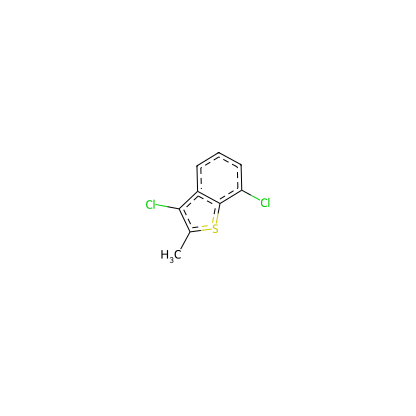 Cc1sc2c(Cl)cccc2c1Cl